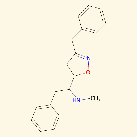 CNC(Cc1ccccc1)C1CC(Cc2ccccc2)=NO1